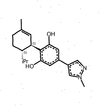 CC1=C[C@@H](c2c(O)cc(-c3cnn(C)c3)cc2O)[C@H](C(C)C)CC1